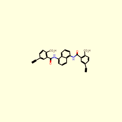 C#Cc1ccc(C(=O)O)c(C(=O)Nc2cccc3c(NC(=O)c4cc(C#C)ccc4C(=O)O)cccc23)c1